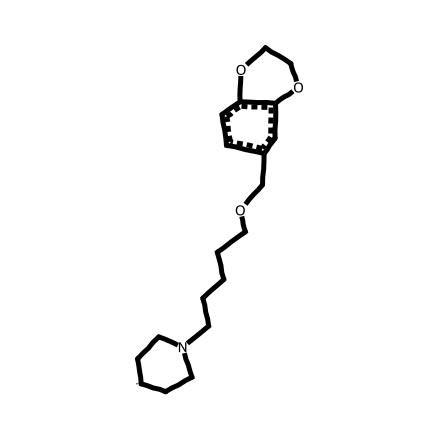 [CH]1CCN(CCCCCOCc2ccc3c(c2)OCCO3)CC1